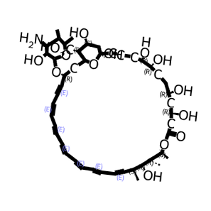 CC1OC(O[C@H]2/C=C/C=C/C=C/C=C/C=C/C=C/C=C/[C@H](C)[C@@H](O)[C@@H](C)[C@H](C)OC(=O)C[C@H](O)C[C@H](O)CC[C@@H](O)[C@H](O)CCC[C@]3(O)C[C@H](O)[C@@H](C(=O)O)C(C2)O3)C(O)C(N)C1C